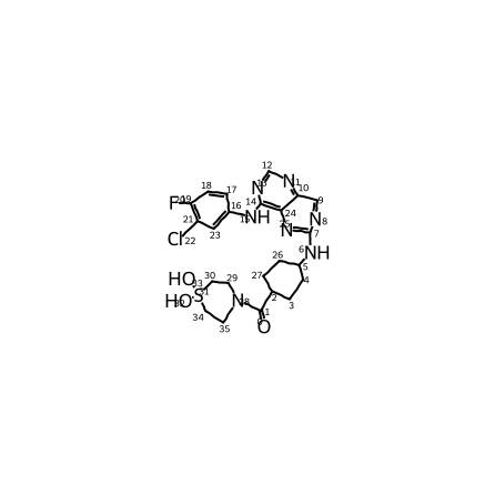 O=C(C1CCC(Nc2ncc3ncnc(Nc4ccc(F)c(Cl)c4)c3n2)CC1)N1CCS(O)(O)CC1